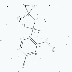 CC(C)(CC1(C(F)(F)F)CO1)c1ccc(F)cc1CBr